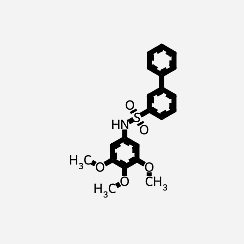 COc1cc(NS(=O)(=O)c2cccc(-c3ccccc3)c2)cc(OC)c1OC